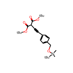 CC(C)(C)OC(=O)C(C#Cc1ccc(CO[Si](C)(C)C(C)(C)C)cc1)C(=O)OC(C)(C)C